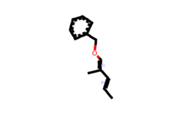 C/C=C/C(C)=C/OCc1ccccc1